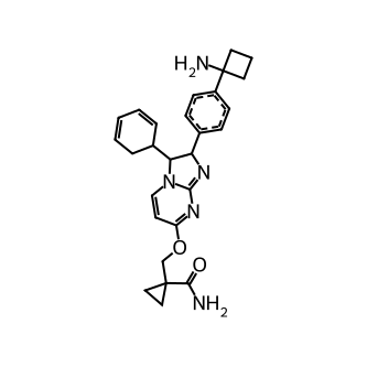 NC(=O)C1(COC2=NC3=NC(c4ccc(C5(N)CCC5)cc4)C(C4C=CC=CC4)N3C=C2)CC1